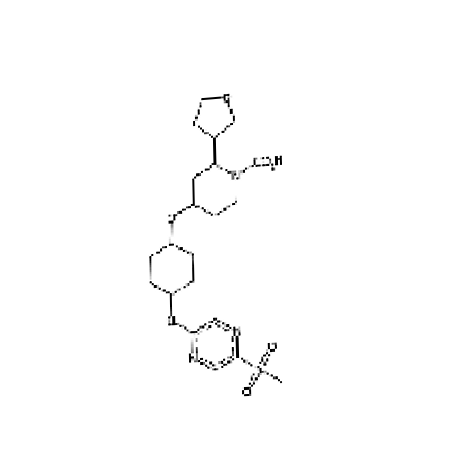 CS(=O)(=O)c1cnc(OC2CCC(OC3CCN(C(=O)O)C(C4CCOC4)C3)CC2)cn1